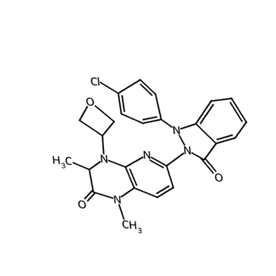 CC1C(=O)N(C)c2ccc(-n3c(=O)c4ccccc4n3-c3ccc(Cl)cc3)nc2N1C1COC1